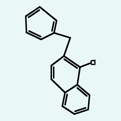 Clc1c(Cc2ccccc2)ccc2ccccc12